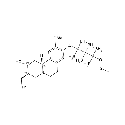 BC(B)(OSI)C(B)(B)C(B)(B)Oc1cc2c(cc1OC)[C@H]1C[C@@H](O)[C@H](CC(C)C)CN1CC2